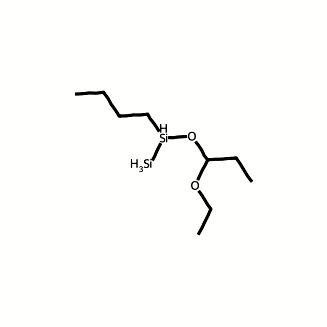 CCCC[SiH]([SiH3])OC(CC)OCC